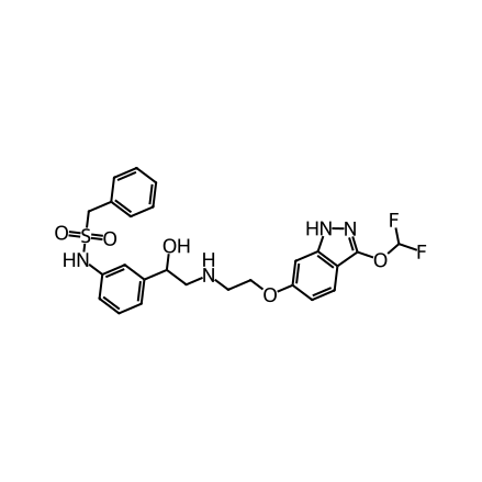 O=S(=O)(Cc1ccccc1)Nc1cccc(C(O)CNCCOc2ccc3c(OC(F)F)n[nH]c3c2)c1